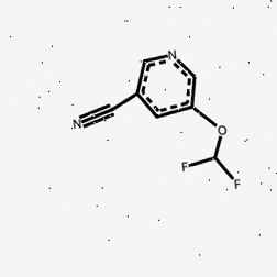 N#Cc1[c]ncc(OC(F)F)c1